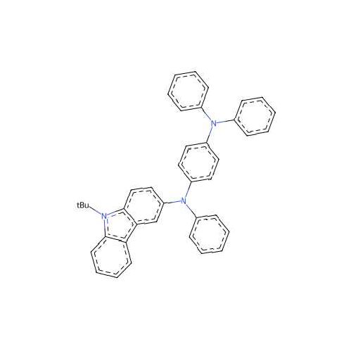 CC(C)(C)n1c2ccccc2c2cc(N(c3ccccc3)c3ccc(N(c4ccccc4)c4ccccc4)cc3)ccc21